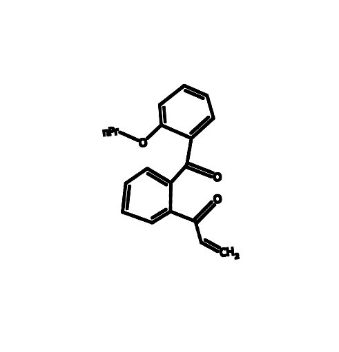 C=CC(=O)c1ccccc1C(=O)c1ccccc1OCCC